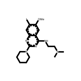 COc1cc2c(NCCN(C)C)nc(N3CCCCC3)nc2cc1I